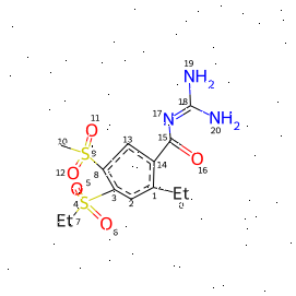 CCc1cc(S(=O)(=O)CC)c(S(C)(=O)=O)cc1C(=O)N=C(N)N